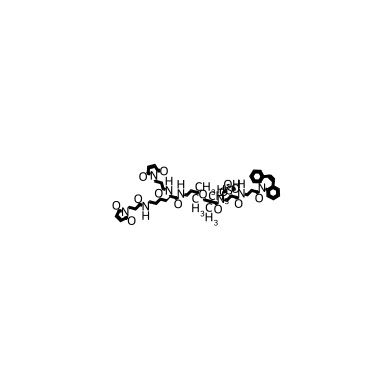 CC(C)(CCNC(=O)[C@@H](CCCCNC(=O)CCN1C(=O)C=CC1=O)NC(=O)CCN1C(=O)C=CC1=O)OCC(C)(C)C(=O)NCC(C(=O)NCCC(=O)N1c2ccccc2C#Cc2ccccc21)S(=O)(=O)O